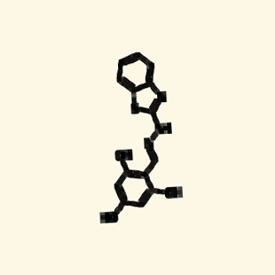 Oc1cc(O)c(/C=N/Nc2nc3ccccc3s2)c(O)c1